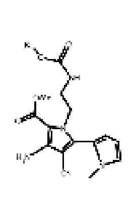 COC(=O)c1c(N)c(C#N)c(-c2cccn2C)n1CCNC(=O)OC(C)(C)C